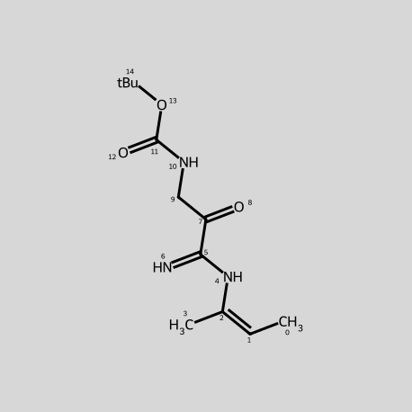 C/C=C(/C)NC(=N)C(=O)CNC(=O)OC(C)(C)C